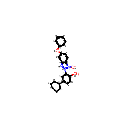 [O-][n+]1c2ccc(Oc3ccccc3)cc2nn1-c1cc(C2CCCCC2)ccc1O